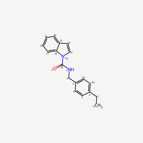 CCc1ccc(CNC(=O)n2ccc3ccccc32)cc1